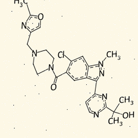 Cc1nc(CN2CCN(C(=O)c3cc4c(-c5ccnc(C(C)(C)O)n5)nn(C)c4cc3Cl)CC2)co1